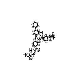 O=C(NCC(F)(F)C(=O)O)c1ccc(CN(C(=O)Nc2cccc(SC(F)(F)F)c2)c2ccc(C3CCCCC3)cc2)cc1